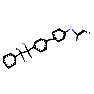 CC/C=C(\CC)Nc1ccc(-c2ccc(C(CC)(CC)C(CC)(CC)c3ccccc3)cc2)cc1